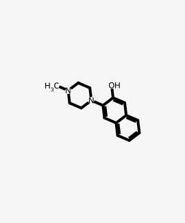 CN1CCN(c2cc3ccccc3cc2O)CC1